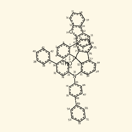 OC1(c2ccccc2-c2cccc3c2oc2ccccc23)c2ccccc2-c2cccc(N(c3ccc(-c4ccccc4)cc3)c3ccc(-c4ccccc4)cc3)c21